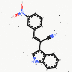 N#CC(=Cc1cccc([N+](=O)[O-])c1)c1c[nH]c2ccccc12